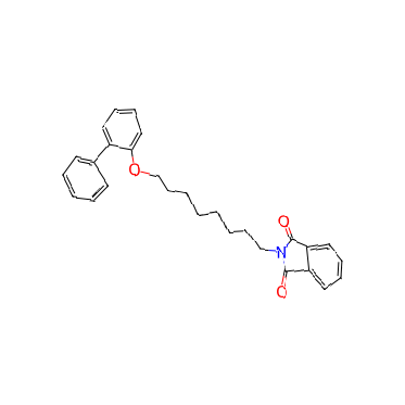 O=C1c2ccccc2C(=O)N1CCCCCCCCOc1ccccc1-c1ccccc1